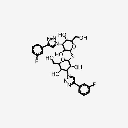 OCC1O[C@@H](S[C@@H]2OC(CO)[C@H](O)[C@@H](n3cc(-c4cccc(F)c4)nn3)C2O)[C@@H](O)C(n2cc(-c3cccc(F)c3)nn2)[C@H]1O